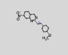 COc1ccc(/C=C/c2ncc3ccc([N+](=O)[O-])cc3n2)cc1